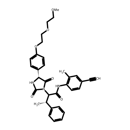 C#Cc1ccc(NC(=O)C([C@@H](C)c2ccccc2)N2C(=O)N[C@H](c3ccc(OCCOCCOC)cc3)C2=O)c(C)c1